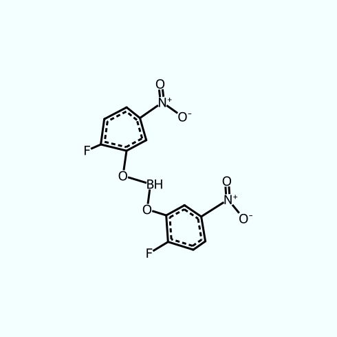 O=[N+]([O-])c1ccc(F)c(OBOc2cc([N+](=O)[O-])ccc2F)c1